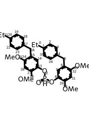 CCc1ccc(Cc2cc(O[PH](=O)Oc3cc(Cc4ccc(CC)cc4)c(OC)cc3OC)c(OC)cc2OC)cc1